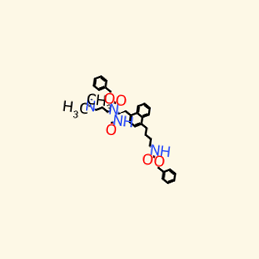 CN(C)CCCN(C(=O)OCc1ccccc1)[C@@H](Cc1ccc(CCCCNC(=O)OCc2ccccc2)c2ccccc12)NC=O